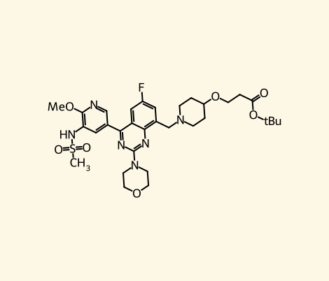 COc1ncc(-c2nc(N3CCOCC3)nc3c(CN4CCC(OCCC(=O)OC(C)(C)C)CC4)cc(F)cc23)cc1NS(C)(=O)=O